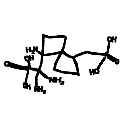 NC1(C(N)(N)P(=O)(O)O)CCC12CCC2CP(=O)(O)O